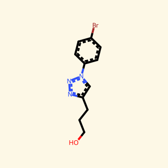 OCCCc1cn(-c2ccc(Br)cc2)nn1